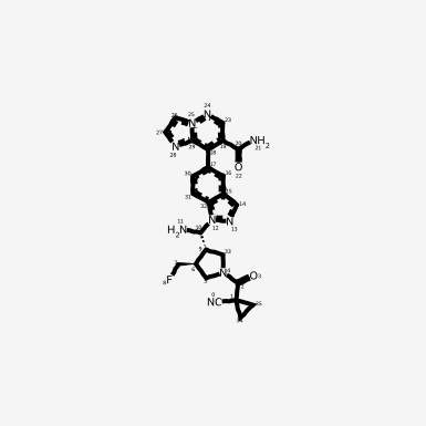 N#CC1(C(=O)N2C[C@@H](CF)[C@H](C(N)n3ncc4cc(-c5c(C(N)=O)cnn6ccnc56)ccc43)C2)CC1